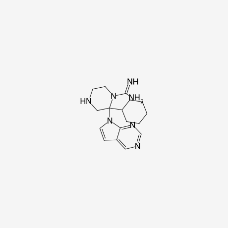 N=C(N)N1CCNCC1(C1CCCCC1)n1ccc2cncnc21